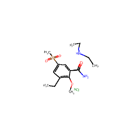 CCNCC.CCc1cc(S(C)(=O)=O)cc(C(N)=O)c1OC.Cl